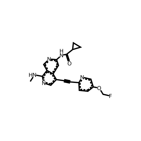 CNc1ncc(C#Cc2ccc(OCF)cn2)c2cc(NC(=O)C3CC3)ncc12